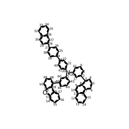 c1cc(-c2cccc3c2ccc2ccccc23)cc(N(c2ccc(-c3ccc(-c4ccc5ccccc5c4)cc3)cc2)c2cccc(-c3cccc4oc5ccccc5c34)c2)c1